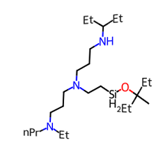 CCCN(CC)CCCN(CCCNC(CC)CC)CC[SiH2]OC(C)(CC)CC